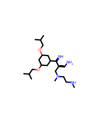 CNCCN(C)C/C(=C/N)C(=N)C1CC(OCC(C)C)C[C@@H](OCC(C)C)C1